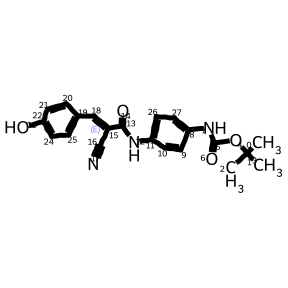 CC(C)(C)OC(=O)Nc1ccc(NC(=O)/C(C#N)=C/c2ccc(O)cc2)cc1